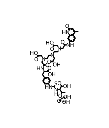 Cc1cc(=O)[nH]c2cc(NC(=O)CN(CCN(CCN(CC(=O)O)CC(=O)NC(Cc3ccc(NC(=S)NC(C(=O)O)C(C)OP(=O)(O)O)cc3)C(=O)O)CC(=O)O)CC(=O)O)ccc12